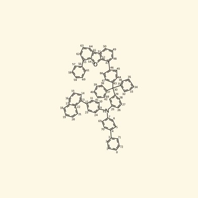 c1ccc(-c2ccc(N(c3ccc(-c4cccc5ccccc45)cc3)c3cccc(C(c4ccccc4)(c4ccccc4)c4ccc(-c5cccc6c5oc5c(-c7ccccc7)cccc56)cc4)c3)cc2)cc1